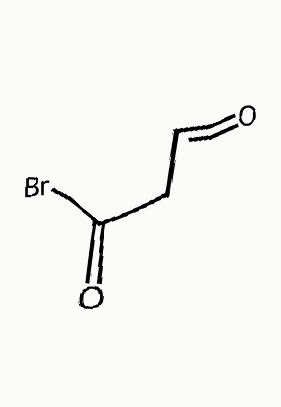 O=CCC(=O)Br